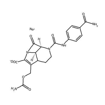 NC(=O)OCC1=C(C(=O)[O-])N2C(=O)[C@@H]3[C@H]2C1CCN3C(=O)Nc1ccc(C(N)=O)cc1.[Na+]